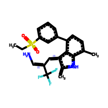 C=c1[nH]c2c(C)ccc(-c3cccc(S(=O)(=O)CC)c3)c2/c1=C/C(=C\N)C(F)(F)F